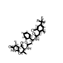 CC(C)[C@H](NC(=O)C[C@H](NC(=O)Cc1c(F)cc(C(F)(F)F)cc1Cl)c1ccccc1)C(=O)[C@@H]1C(=O)NC(=O)[C@H]1C